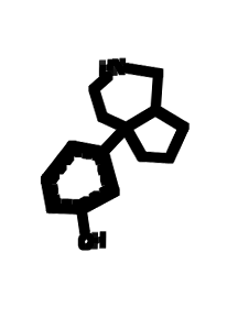 Oc1cccc(C23CCCC2CNCC3)c1